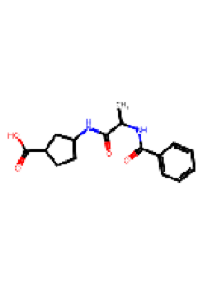 CC(NC(=O)c1ccccc1)C(=O)NC1CCC(C(=O)O)C1